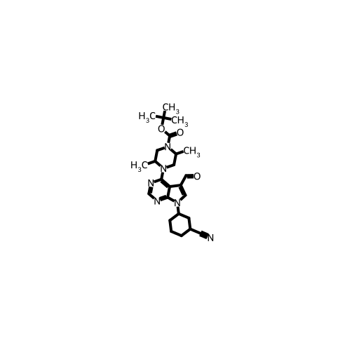 CC1CN(c2ncnc3c2c(C=O)cn3C2CCCC(C#N)C2)C(C)CN1C(=O)OC(C)(C)C